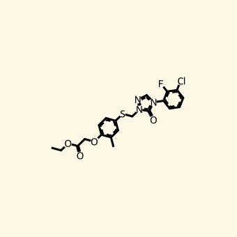 CCOC(=O)COc1ccc(SCn2ncn(-c3cccc(Cl)c3F)c2=O)cc1C